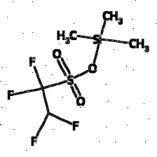 C[Si](C)(C)OS(=O)(=O)C(F)(F)C(F)F